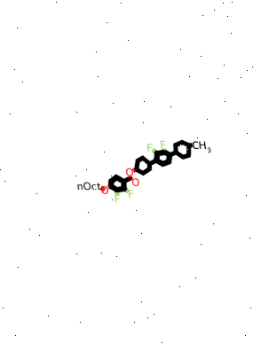 CCCCCCCCOc1ccc(C(=O)OC2CCC(c3ccc(C4CCC(C)CC4)c(F)c3F)CC2)c(F)c1F